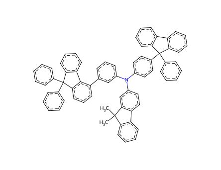 CC1(C)c2ccccc2-c2ccc(N(c3ccc(C4(c5ccccc5)c5ccccc5-c5ccccc54)cc3)c3cccc(-c4cccc5c4-c4ccccc4C5(c4ccccc4)c4ccccc4)c3)cc21